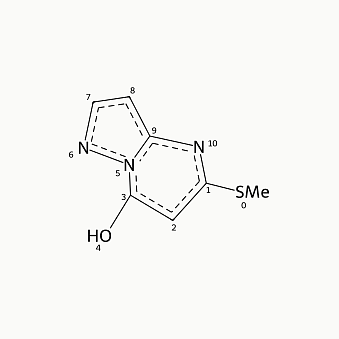 CSc1cc(O)n2nccc2n1